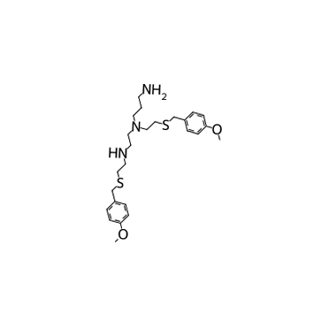 COc1ccc(CSCCNCCN(CCCN)CCSCc2ccc(OC)cc2)cc1